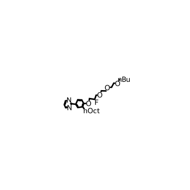 CCCCCCCCc1cc(-c2ncccn2)ccc1OCC(F)COCCOCCOCCCC